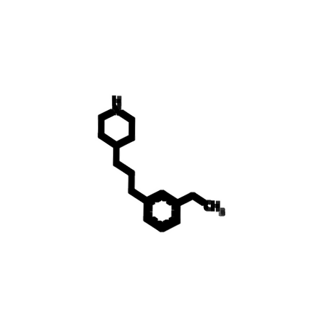 CCc1cccc(CCCC2CCNCC2)c1